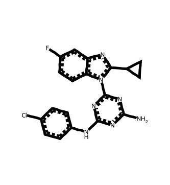 Nc1nc(Nc2ccc(Cl)cc2)nc(-n2c(C3CC3)nc3cc(F)ccc32)n1